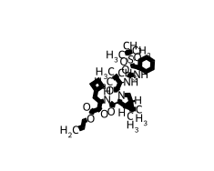 C=CCOC(=O)C(=O)C(CC1CCC1)NC(=O)[C@@H]1[C@@H]2[C@H](CN1C(=O)[C@@H](NC(=O)NC1(CS(=O)(=O)C(C)(C)C)CCCCC1)C(C)(C)C)C2(C)C